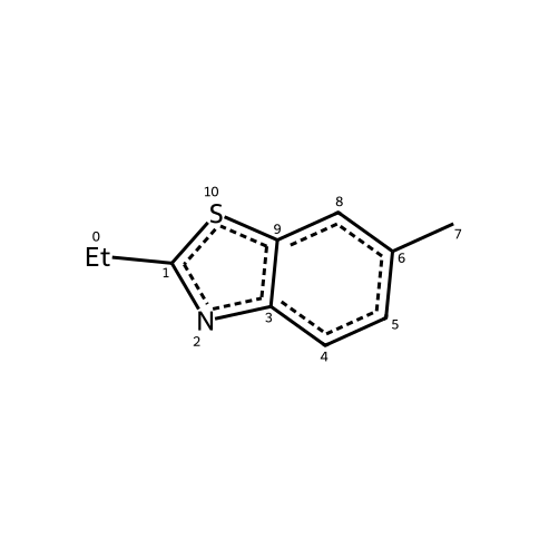 CCc1nc2ccc(C)cc2s1